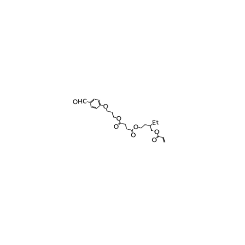 C=CC(=O)OCC(CC)CCOC(=O)CCC(=O)OCCCOc1ccc(C=O)cc1